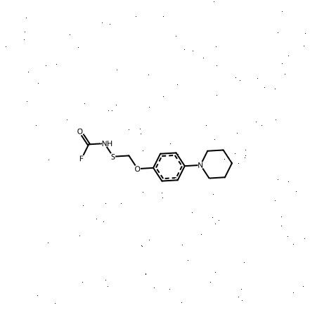 O=C(F)NSCOc1ccc(N2CCCCC2)cc1